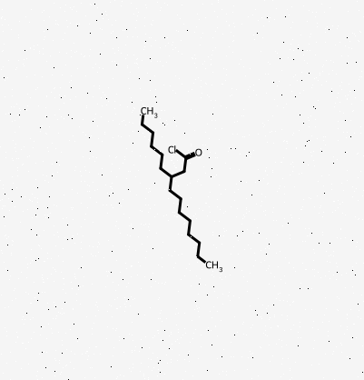 CCCCCCCCC(CCCCCC)CC(=O)Cl